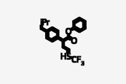 CC(C)Cc1ccc(C(CC=[SH]C(F)(F)F)C(=O)Oc2ccccc2)cc1